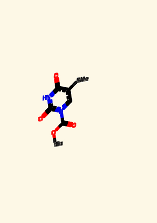 CSc1cn(C(=O)OC(C)(C)C)c(=O)[nH]c1=O